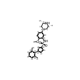 COc1ccc(N2C[C@@H](C)N[C@@H](C)C2)cc1NS(=O)(=O)c1ccc(-c2c(C)cccc2C)s1